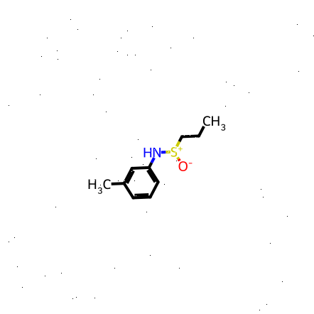 CCC[S+]([O-])Nc1cccc(C)c1